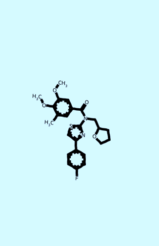 COc1cc(C(=O)N(CC2CCCO2)c2nc(-c3ccc(F)cc3)cs2)cc(C)c1OC